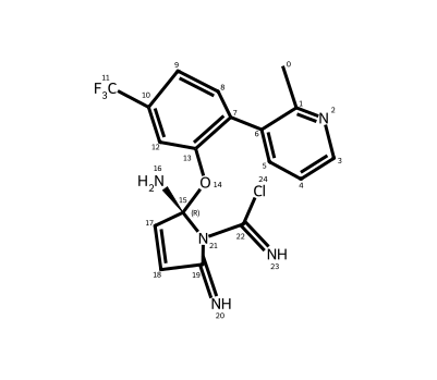 Cc1ncccc1-c1ccc(C(F)(F)F)cc1O[C@@]1(N)C=CC(=N)N1C(=N)Cl